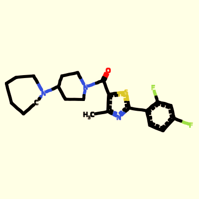 Cc1nc(-c2ccc(F)cc2F)sc1C(=O)N1CCC(N2CCCCCC2)CC1